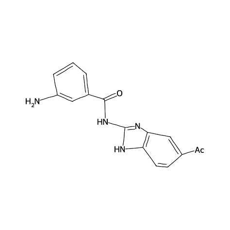 CC(=O)c1ccc2[nH]c(NC(=O)c3cccc(N)c3)nc2c1